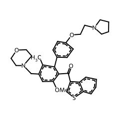 COc1cc(CN2CCOCC2)c(C)c(-c2ccc(OCCN3CCCC3)cc2)c1C(=O)c1csc2ccccc12